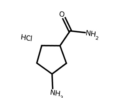 Cl.NC(=O)C1CCC(N)C1